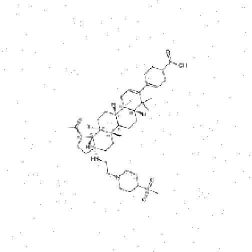 C=C(C)[C@@H]1CC[C@]2(NCCN3CCC(S(C)(=O)=O)CC3)CC[C@]3(C)[C@H](CC[C@@H]4[C@@]5(C)CC=C(C6=CCC(C(=O)O)CC6)C(C)(C)[C@@H]5CC[C@]43C)[C@@H]12